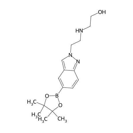 CC1(C)OB(c2ccc3nn(CCNCCO)cc3c2)OC1(C)C